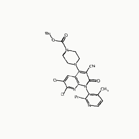 Cc1ccnc(C(C)C)c1-n1c(=O)c(C#N)c(N2CCN(C(=O)OC(C)(C)C)CC2)c2cc(Cl)c(Cl)nc21